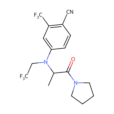 CC(C(=O)N1CCCC1)N(CC(F)(F)F)c1ccc(C#N)c(C(F)(F)F)c1